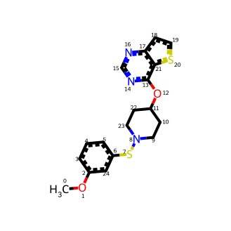 COc1cccc(SN2CCC(Oc3ncnc4ccsc34)CC2)c1